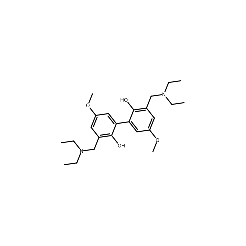 CCN(CC)Cc1cc(OC)cc(-c2cc(OC)cc(CN(CC)CC)c2O)c1O